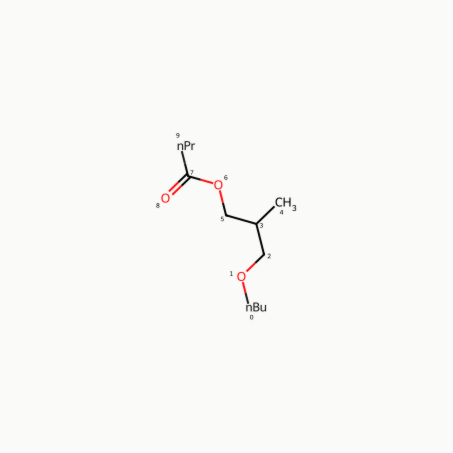 CCCCOCC(C)COC(=O)CCC